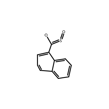 [O]C(=S=O)c1cccc2ccccc12